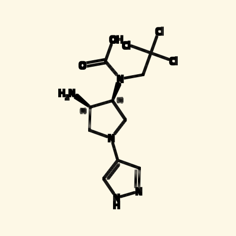 N[C@@H]1CN(c2cn[nH]c2)C[C@@H]1N(CC(Cl)(Cl)Cl)C(=O)O